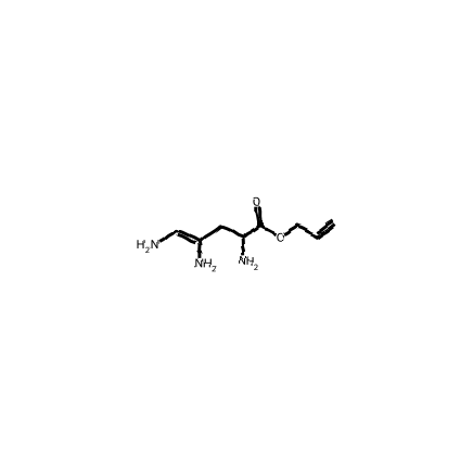 C=CCOC(=O)C(N)CC(N)=CN